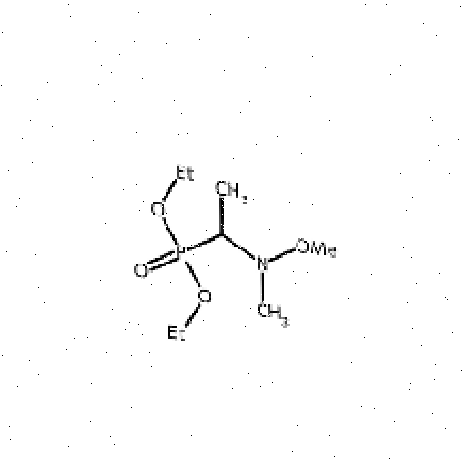 CCOP(=O)(OCC)C(C)N(C)OC